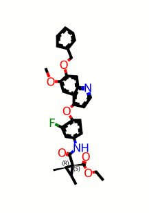 CCOC(=O)[C@@]1(C(=O)Nc2ccc(Oc3ccnc4cc(OCc5ccccc5)c(OC)cc34)c(F)c2)C(C)[C@H]1C